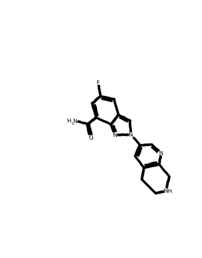 NC(=O)c1cc(F)cc2cn(-c3cnc4c(c3)CCNC4)nc12